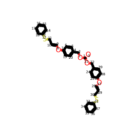 O=C(OCc1ccc(OC=CCSc2ccccc2)cc1)OCc1ccc(OC=CCSc2ccccc2)cc1